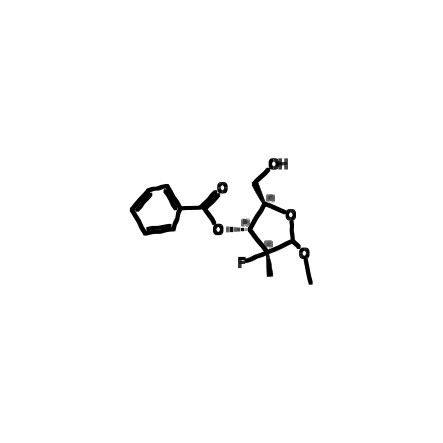 COC1O[C@H](CO)[C@@H](OC(=O)c2ccccc2)[C@@]1(C)F